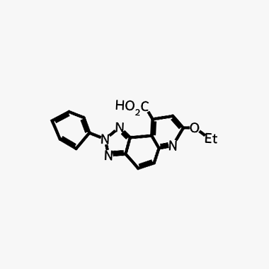 CCOc1cc(C(=O)O)c2c(ccc3nn(-c4ccccc4)nc32)n1